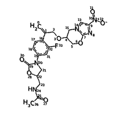 C=C(COC1COc2nc([N+](=O)[O-])cn2C1)c1ccc(N2CC(CNC(C)=O)OC2=O)cc1F